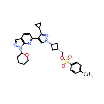 Cc1ccc(S(=O)(=O)OC[C@H]2C[C@H](n3cc(-c4ccc5cnn(C6CCCCO6)c5n4)c(C4CC4)n3)C2)cc1